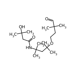 CC(C)(O)CC(=O)NC(C)(C)CC(C)(C)OCCC(C)(C)C=O